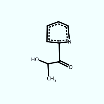 CC(O)C(=O)c1ccccn1